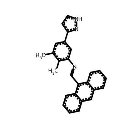 Cc1cc(-c2cc[nH]n2)cc(N=Cc2c3ccccc3cc3ccccc23)c1C